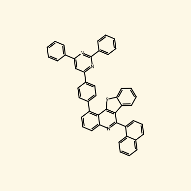 c1ccc(-c2cc(-c3ccc(-c4cccc5nc(-c6cccc7ccccc67)c6c7ccccc7sc6c45)cc3)nc(-c3ccccc3)n2)cc1